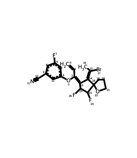 C=C/C(Oc1cc(F)cc(C#N)c1)=C1\C(=C(/C)Br)C2(CCCO2)C(F)C1F